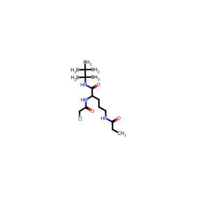 BC(B)(B)C(B)(B)NC(=O)C(CCCNC(=O)CC)NC(=O)CCl